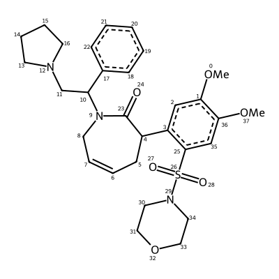 COc1cc(C2CC=CCN(C(CN3CCCC3)c3ccccc3)C2=O)c(S(=O)(=O)N2CCOCC2)cc1OC